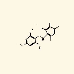 CCCOc1cc(OCCC)c(PC(=O)c2c(C)cc(C)c(C)c2C)c(OCCC)c1.[LiH]